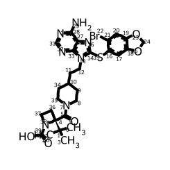 CC(C)(C)[C@]1(C(=O)N2CCC(CCn3c(Sc4cc5c(cc4Br)OCO5)nc4c(N)ncnc43)CC2)CCN1C(=O)O